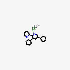 [Cl-].[Cl-].[Pt+2].c1ccc(-c2cnc(-c3ccccn3)c(-c3ccccc3)c2)cc1